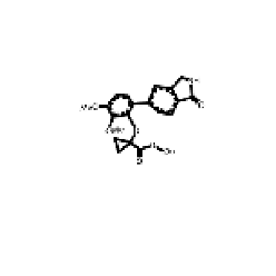 CCC(C)OC(=O)C1(Oc2c(-c3ccc4c(c3)CNC4=O)ccc(OC)c2OC)CC1